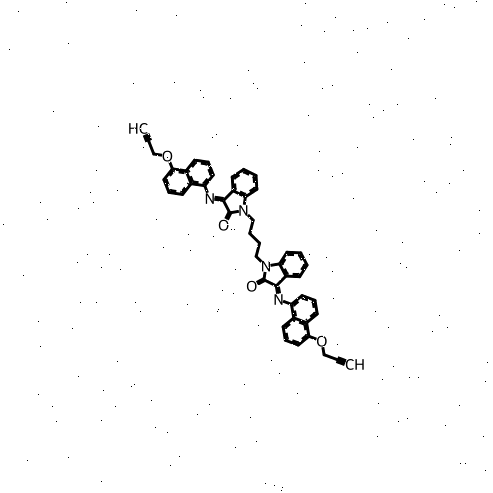 C#CCOc1cccc2c(/N=C3/C(=O)N(CCCCN4C(=O)/C(=N/c5cccc6c(OCC#C)cccc56)c5ccccc54)c4ccccc43)cccc12